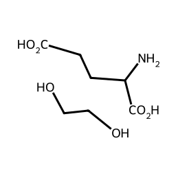 NC(CCC(=O)O)C(=O)O.OCCO